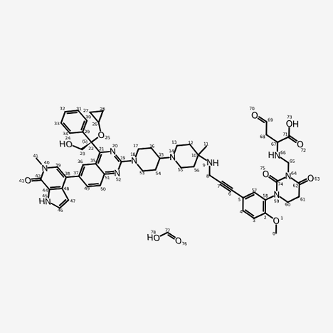 COc1ccc(C#CCNC2(C)CCN(C3CCN(c4nc([C@@](CO)(OC5CC5)c5ccccc5)c5cc(-c6cn(C)c(=O)c7[nH]ccc67)ccc5n4)CC3)CC2)cc1N1CCC(=O)N(CNC(CC=O)C(=O)O)C1=O.O=CO